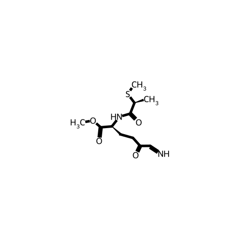 COC(=O)[C@H](CCC(=O)C=N)NC(=O)[C@H](C)SC